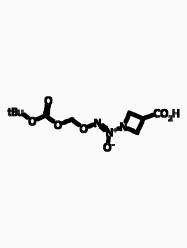 CC(C)(C)OC(=O)OCO/N=[N+](\[O-])N1CC(C(=O)O)C1